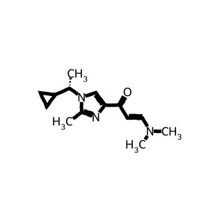 Cc1nc(C(=O)C=CN(C)C)cn1[C@@H](C)C1CC1